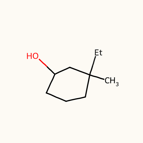 CCC1(C)CCCC(O)C1